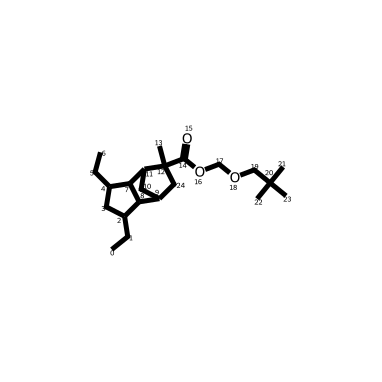 CCC1CC(CC)C2C1C1CC2C(C)(C(=O)OCOCC(C)(C)C)C1